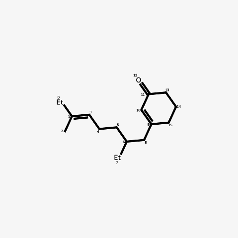 CCC(C)=CCCC(CC)CC1=CC(=O)CCC1